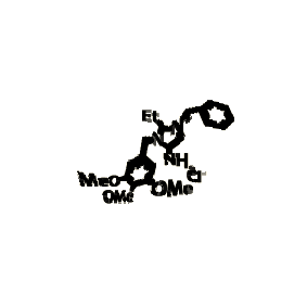 CCC1N(Cc2cc(OC)c(OC)c(OC)c2)C(N)=C[N+]1=Cc1ccccc1.[Cl-]